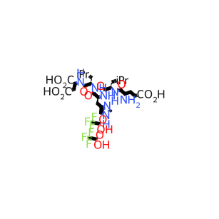 CC(C)C[C@H](NC(=O)[C@H](Cc1c[nH]cn1)NC(=O)[C@H](CC(C)C)NC(=O)[C@@H](N)CCC(=O)O)C(=O)N[C@@H](CC(=O)O)C(=O)O.O=C(O)C(F)(F)F.O=C(O)C(F)(F)F